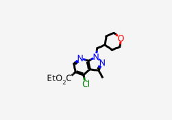 CCOC(=O)c1cnc2c(c(C)nn2CC2CCOCC2)c1Cl